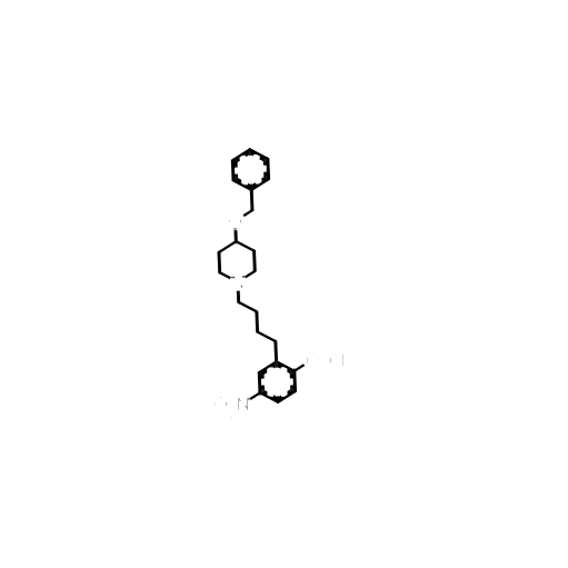 O=C(O)c1ccc([N+](=O)[O-])cc1CCCCN1CCC(OCc2ccccc2)CC1